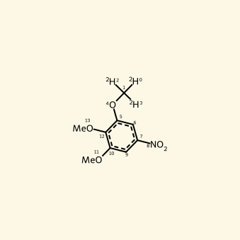 [2H]C([2H])([2H])Oc1cc([N+](=O)[O-])cc(OC)c1OC